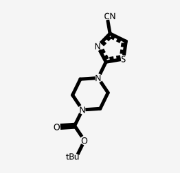 CC(C)(C)OC(=O)N1CCN(c2nc(C#N)cs2)CC1